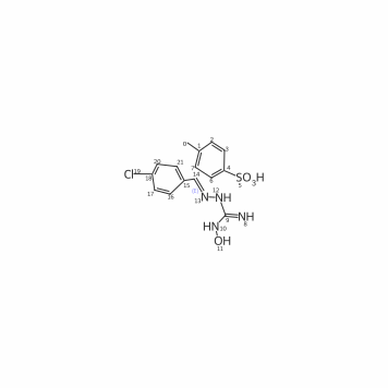 Cc1ccc(S(=O)(=O)O)cc1.N=C(NO)N/N=C/c1ccc(Cl)cc1